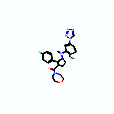 COc1ccc(-n2cnnn2)cc1N(C)C1CCC(C(=O)N2CCOCC2)C1c1ccc(F)cc1